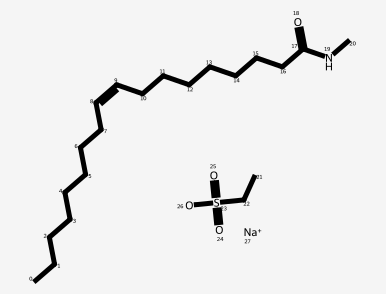 CCCCCCCC/C=C\CCCCCCCC(=O)NC.CCS(=O)(=O)[O-].[Na+]